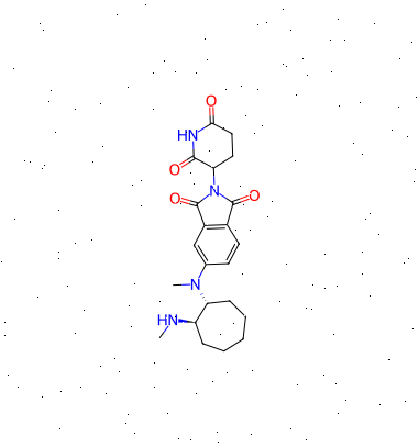 CN[C@@H]1CCCCC[C@H]1N(C)c1ccc2c(c1)C(=O)N(C1CCC(=O)NC1=O)C2=O